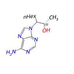 CCCCCCC([C@H](C)O)n1cnc2c(N)ncnc21